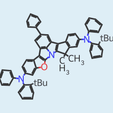 CC(C)(C)c1ccccc1N(c1ccccc1)c1ccc2c(c1)C(C)(C)c1c-2c2cc(-c3ccccc3)cc3c4c5ccc(N(c6ccccc6)c6ccccc6C(C)(C)C)cc5oc4n1c23